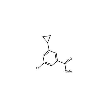 COC(=O)c1cc(Cl)cc(C2CC2)c1